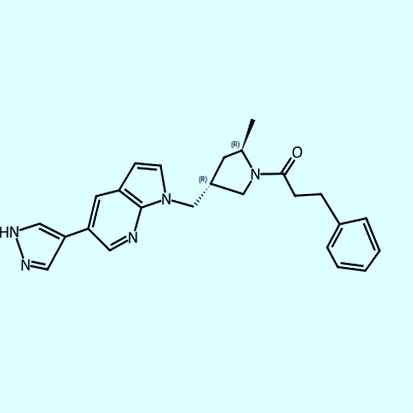 C[C@@H]1C[C@@H](Cn2ccc3cc(-c4cn[nH]c4)cnc32)CN1C(=O)CCc1ccccc1